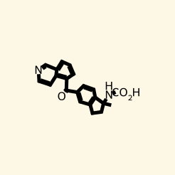 CC1(NC(=O)O)CCc2cc(C(=O)c3cccc4cnccc34)ccc21